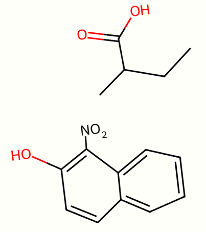 CCC(C)C(=O)O.O=[N+]([O-])c1c(O)ccc2ccccc12